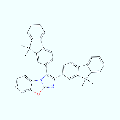 CC1(C)c2ccccc2-c2ccc(-c3nc4oc5ccccc5n4c3-c3ccc4c(c3)C(C)(C)c3ccccc3-4)cc21